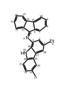 CCc1cc(N=C2c3ccccc3-c3ccccc32)c2[nH]c3ccc(C)cc3c2c1